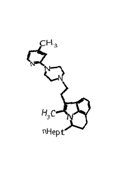 CCCCCCCC1CCc2cccc3c(CCN4CCN(c5cc(C)ccn5)CC4)c(C)n1c23